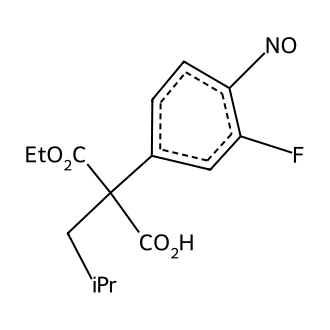 CCOC(=O)C(CC(C)C)(C(=O)O)c1ccc(N=O)c(F)c1